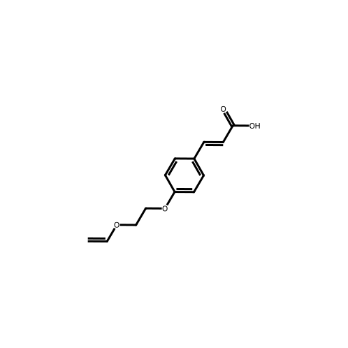 C=COCCOc1ccc(C=CC(=O)O)cc1